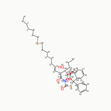 CCCCCCCSCCCCCC/C=C/[C@H](C(=O)N1C(=O)SC(c2ccccc2)(c2ccccc2)[C@@H]1C(C)C)[C@@](O)(CCC)C(=O)O